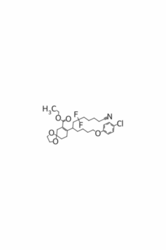 CCOC(=O)C1=C(C(CCCCOc2ccc(Cl)cc2)CC(F)(F)CCCCC#N)CCC2(C1)OCCO2